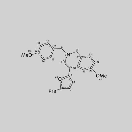 CCc1ccc(C=NN(Cc2ccc(OC)cc2)Cc2ccc(OC)cc2)o1